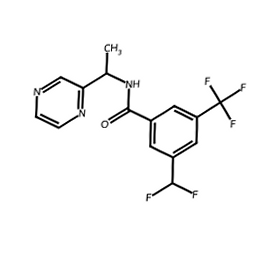 CC(NC(=O)c1cc(C(F)F)cc(C(F)(F)F)c1)c1cnccn1